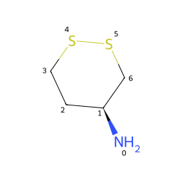 N[C@H]1CCSSC1